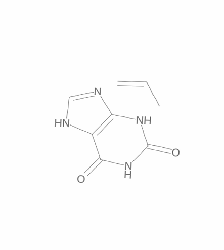 C=CC.O=c1[nH]c(=O)c2[nH]cnc2[nH]1